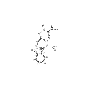 COC(=O)C(C)CC(Cl)=Cc1sc2ccccc2[n+]1C.[Cl-]